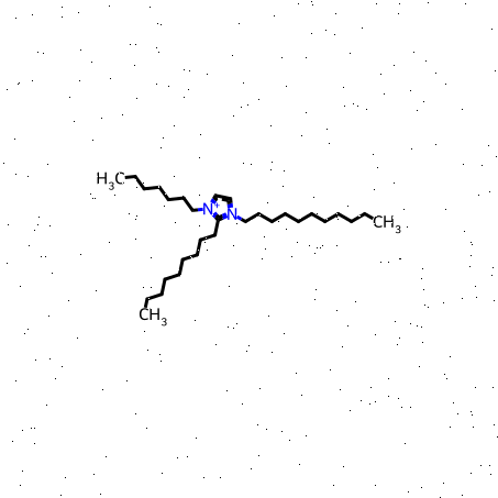 CCCCCCCCCCCn1cc[n+](CCCCCCC)c1CCCCCCCCC